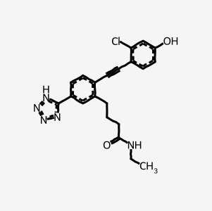 CCNC(=O)CCCc1cc(-c2nnn[nH]2)ccc1C#Cc1ccc(O)cc1Cl